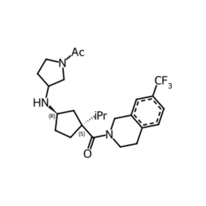 CC(=O)N1CCC(N[C@@H]2CC[C@@](C(=O)N3CCc4ccc(C(F)(F)F)cc4C3)(C(C)C)C2)C1